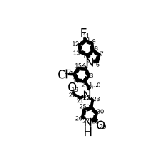 C[C@H]1c2cc(-n3ccc4cc(F)ccc43)cc(Cl)c2OCCN1Cc1cc[nH]c(=O)c1